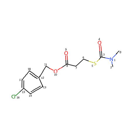 CN(C)C(=O)SCCC(=O)OCc1ccc(Cl)cc1